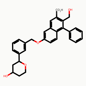 O=C(O)c1cc2cc(OCc3cccc(C4CC(O)CCO4)c3)ccc2c(-c2ccccc2)c1CO